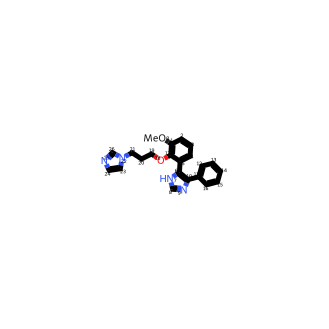 COc1cccc(-c2[nH]cnc2-c2ccccc2)c1OCCCn1ccnc1